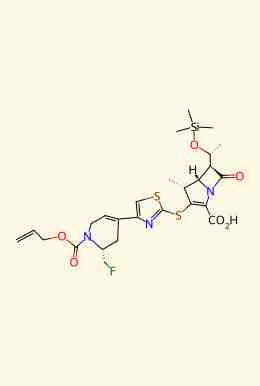 C=CCOC(=O)N1CC=C(c2csc(SC3=C(C(=O)O)N4C(=O)[C@H]([C@@H](C)O[Si](C)(C)C)[C@H]4[C@H]3C)n2)C[C@@H]1CF